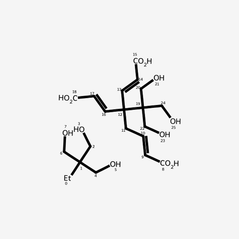 CCC(CO)(CO)CO.O=C(O)C=CCC(C=CC(=O)O)(C=CC(=O)O)C(CO)(CO)CO